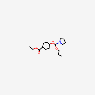 CCCOC(OC1CCC(C(=O)OCC)CC1)N1CCCC1